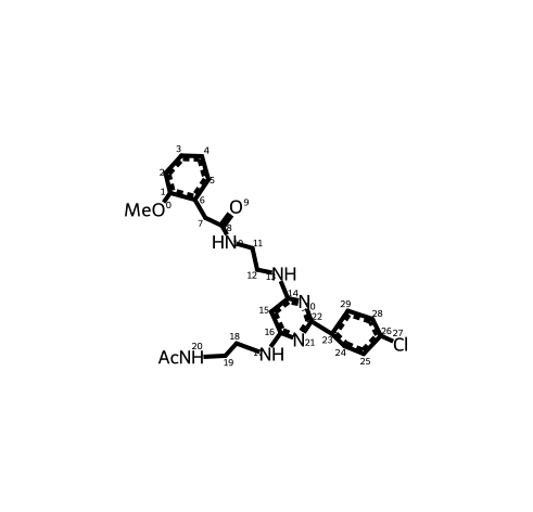 COc1ccccc1CC(=O)NCCNc1cc(NCCNC(C)=O)nc(-c2ccc(Cl)cc2)n1